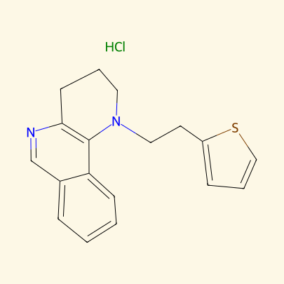 Cl.c1csc(CCN2CCCc3ncc4ccccc4c32)c1